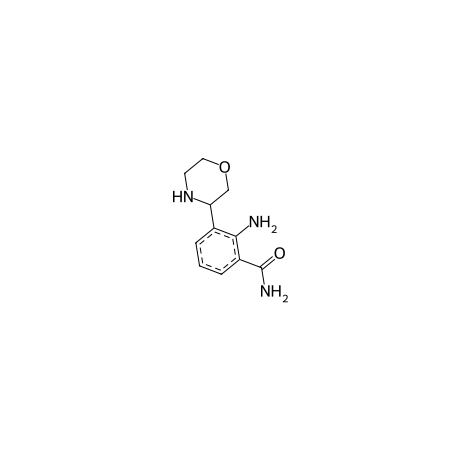 NC(=O)c1cccc(C2COCCN2)c1N